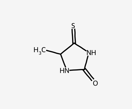 CC1NC(=O)NC1=S